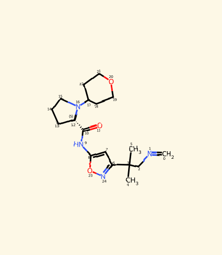 C=NCC(C)(C)c1cc(NC(=O)[C@@H]2CCCN2C2CCOCC2)on1